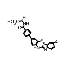 CC[C@H](NC(=O)c1ccc(-c2ccc(Nc3nc4ccc(Cl)cc4s3)c(F)c2)cc1)C(=O)O